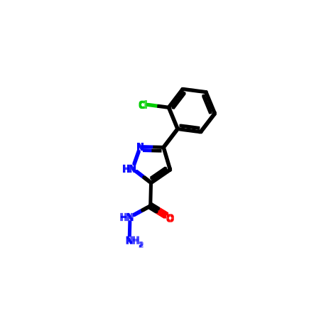 NNC(=O)c1cc(-c2ccccc2Cl)n[nH]1